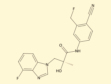 C[C@](O)(Cn1cnc2c(F)cccc21)C(=O)Nc1ccc(C#N)c(CF)c1